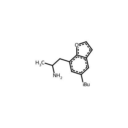 CCC(C)c1cc(CC(C)N)c2occc2c1